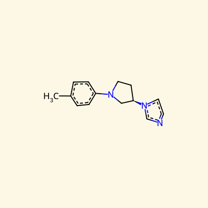 Cc1ccc(N2CC[C@@H](n3ccnc3)C2)cc1